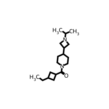 CCC1CC(C(=O)N2CCC(C3CN(C(C)C)C3)CC2)C1